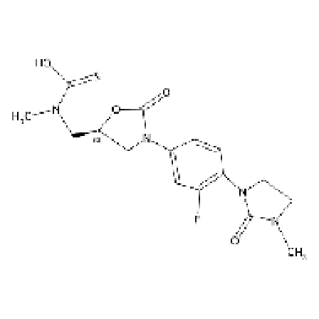 CN1CCN(c2ccc(N3C[C@@H](CN(C)C(O)=S)OC3=O)cc2F)C1=O